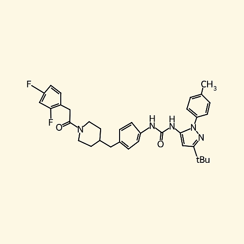 Cc1ccc(-n2nc(C(C)(C)C)cc2NC(=O)Nc2ccc(CC3CCN(C(=O)Cc4ccc(F)cc4F)CC3)cc2)cc1